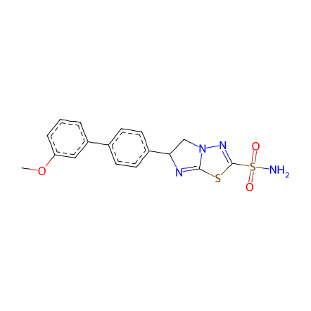 COc1cccc(-c2ccc(C3CN4N=C(S(N)(=O)=O)SC4=N3)cc2)c1